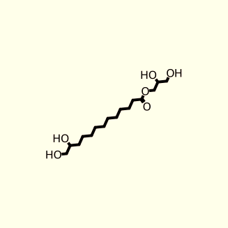 O=C(CCCCCCCCCCC(O)CO)OCC(O)CO